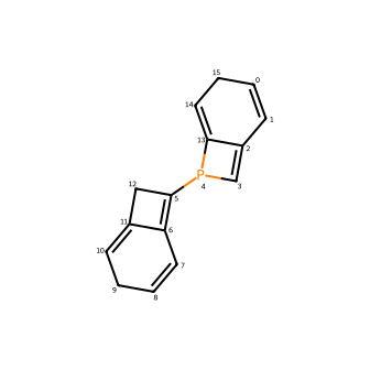 C1=CC2=CP(C3=C4C=CCC=C4C3)C2=CC1